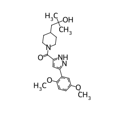 COc1ccc(OC)c(-c2cc(C(=O)N3CCC(CC(C)(C)O)CC3)[nH]n2)c1